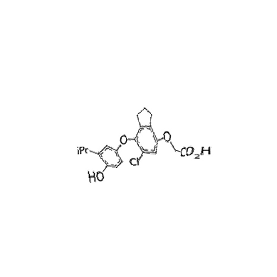 CC(C)c1cc(Oc2c(Cl)cc(OCC(=O)O)c3c2CCC3)ccc1O